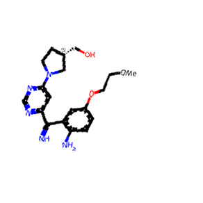 COCCOc1ccc(N)c(C(=N)c2cc(N3CC[C@H](CO)C3)ncn2)c1